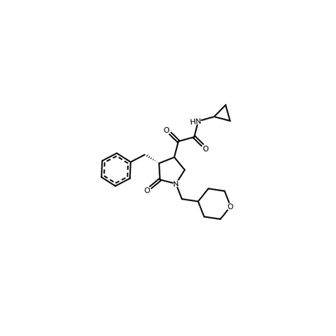 O=C(NC1CC1)C(=O)C1CN(CC2CCOCC2)C(=O)[C@@H]1Cc1ccccc1